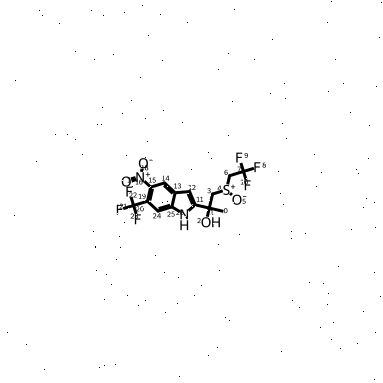 CC(O)(C[S+]([O-])CC(F)(F)F)c1cc2cc([N+](=O)[O-])c(C(F)(F)F)cc2[nH]1